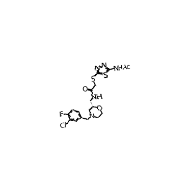 CC(=O)Nc1nnc(SCC(=O)NC[C@H]2CN(Cc3ccc(F)c(Cl)c3)CCO2)s1